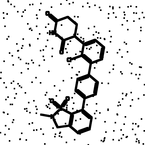 CN1Cc2cccc(-c3ccc(-c4cccc(C5CCC(=O)NC5=O)c4Cl)cc3)c2S1(=O)=O